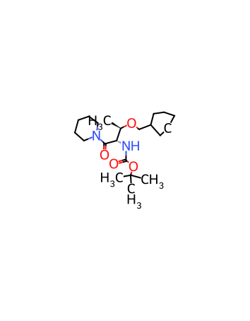 C[C@@H](OCC1CCCCC1)[C@H](NC(=O)OC(C)(C)C)C(=O)N1CCCCC1